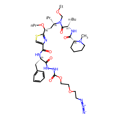 CCCO[C@H](C[C@H](C(C)C)N(COCC)C(=O)[C@@H](NC(=O)[C@H]1CCCCN1C)[C@@H](C)CC)c1nc(C(=O)N[C@@H](Cc2ccccc2)C(=O)NNC(=O)OCCOCCN=[N+]=[N-])cs1